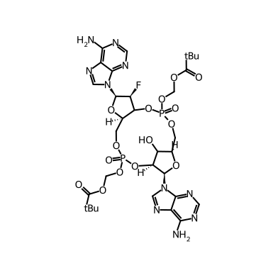 CC(C)(C)C(=O)OCOP1(=O)OC[C@H]2O[C@@H](n3cnc4c(N)ncnc43)[C@@H](OP(=O)(OCOC(=O)C(C)(C)C)OC[C@H]3O[C@@H](n4cnc5c(N)ncnc54)[C@@H](F)C3O1)C2O